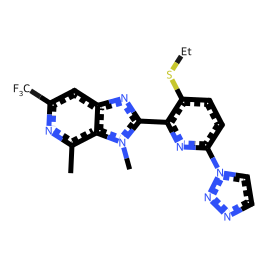 CCSc1ccc(-n2ccnn2)nc1-c1nc2cc(C(F)(F)F)nc(C)c2n1C